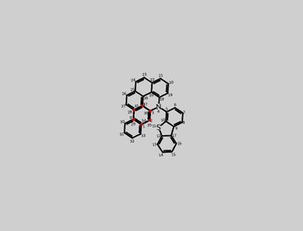 c1ccc(N(c2cccc3c2sc2ccccc23)c2cccc3ccc4ccc5c6ccccc6ccc5c4c23)cc1